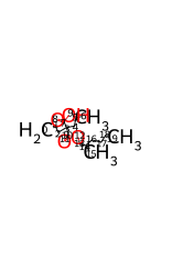 C=CCC(CCC)(C(=O)O)C(=O)OCC(C)CCCC